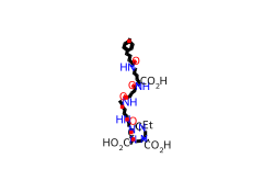 CCN1CCN(CC(=O)O)CCN(CC(=O)O)CCN(CC(=O)NCCCCC(C)NC(=O)CCCC(=O)NC(CCCCNC(=O)CCCc2ccc(C)cc2)C(=O)O)CC1